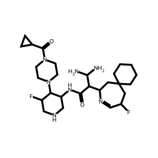 NC(N)C(C(=O)NC1CNCC(F)C1N1CCN(C(=O)C2CC2)CC1)C1CC2(CCCCC2)CC(F)C=N1